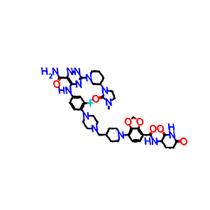 CN1CCN([C@@H]2CCCN(c3nnc(C(N)=O)c(Nc4ccc(N5CCN(CC6CCN(c7ccc(C(=O)NC8CCC(=O)NC8=O)c8c7OCO8)CC6)CC5)c(F)c4)n3)C2)C1=O